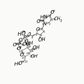 Cc1cn([C@H]2CC(O)[C@@H](COP(=O)(O)OP(=O)(O)O[C@H]3OC(CO)[C@@H](O)[C@H](O)C3O)O2)c(=O)[nH]c1=O